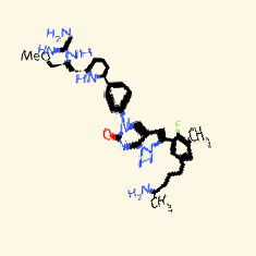 COC[C@H](C[C@@H]1CCC[C@@H](c2ccc(-n3cc4cc(-c5cc(CCC[C@H](C)N)cc(C)c5F)[nH]c4nc3=O)cc2)N1)NC(=N)CN